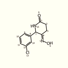 O=C1CC/C(=N\O)C(c2cccc(Cl)c2)N1